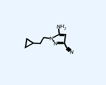 N#Cc1cc(N)n(CCC2CC2)n1